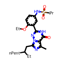 CCCCCC(CC)Cc1nc(C)c2c(=O)[nH]c(-c3cc(NS(=O)(=O)C(C)C)ccc3OCC)nn12